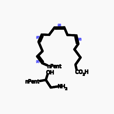 CCCCC/C=C\C/C=C\C/C=C\C/C=C\CCCC(=O)O.CCCCCC(O)CN